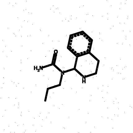 CCCN(C(N)=O)C1NCCc2ccccc21